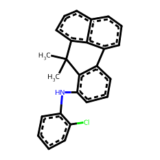 CC1(C)c2c(Nc3ccccc3Cl)cccc2-c2cccc3cccc1c23